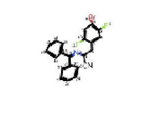 N#CC(Cc1cc(F)c(Br)cc1F)N=C(c1ccccc1)c1ccccc1